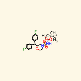 CC(C)(C)OC(=O)NS(=O)(=O)N1CCOC(C(c2ccc(F)cc2)c2ccc(F)cc2)C1